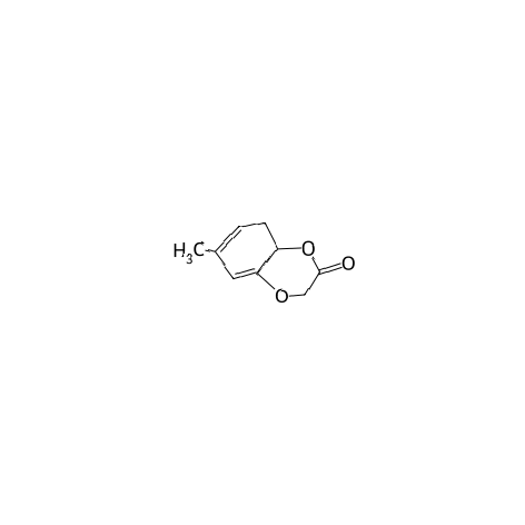 CC1=CCC2OC(=O)COC2=C1